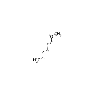 CCCC/C=C/OC